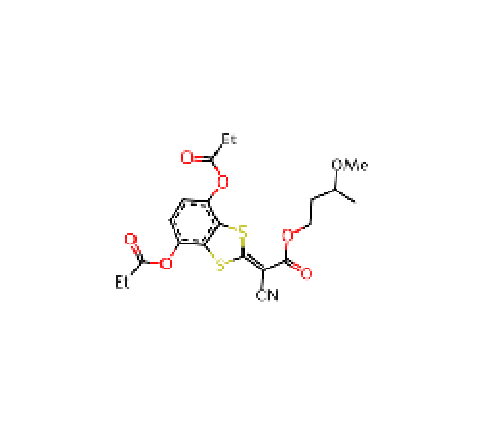 CCC(=O)Oc1ccc(OC(=O)CC)c2c1SC(=C(C#N)C(=O)OCCC(C)OC)S2